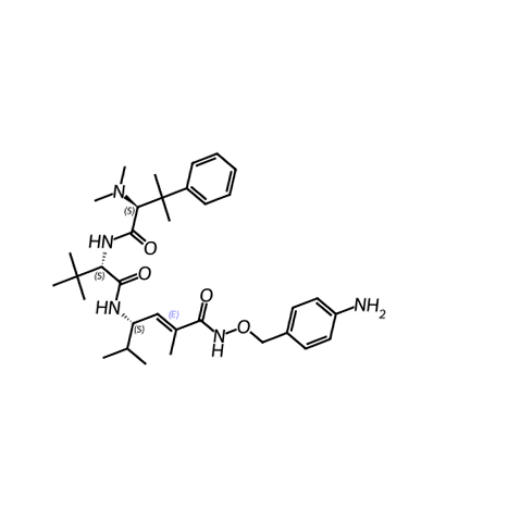 C/C(=C\[C@@H](NC(=O)[C@@H](NC(=O)[C@@H](N(C)C)C(C)(C)c1ccccc1)C(C)(C)C)C(C)C)C(=O)NOCc1ccc(N)cc1